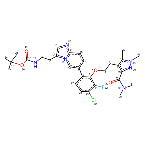 Cc1c(CCOc2c(-c3ccc4ncc(CCNC(=O)OC(C)(C)C)n4c3)ccc(Cl)c2F)c(C(=O)N(C)C)nn1C